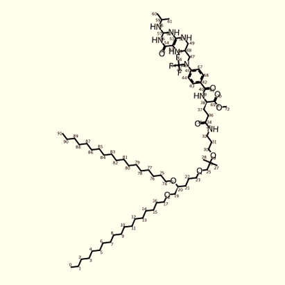 CCCCCCCCCCCCCCCCCCOC[C@H](CCCOCC(C)(C)OCCCNC(=O)CC[C@@H](NC(=O)c1ccc(N(CC2CNC3=C(N2)C(=O)NC(NC(C)C)N3)C(F)(F)F)cc1)C(=O)OC)OCCCCCCCCCCCCCCCCCC